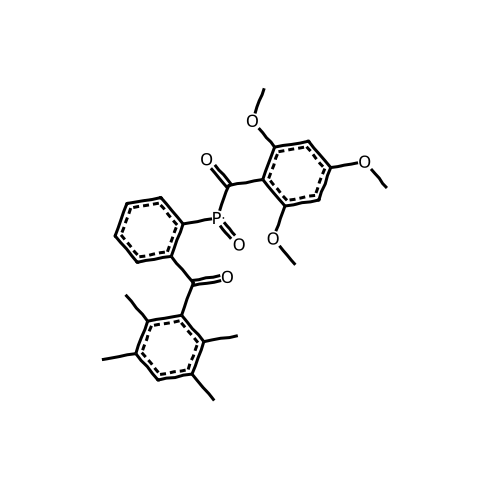 COc1cc(OC)c(C(=O)[P](=O)c2ccccc2C(=O)c2c(C)c(C)cc(C)c2C)c(OC)c1